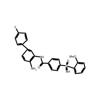 COc1ccccc1S(=N)(=O)c1ccc(C(=O)Nc2cc(-c3ccc(F)cc3)ccc2N)cc1